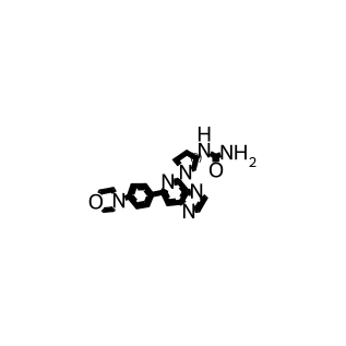 NC(=O)N[C@@H]1CCN(c2nc(-c3ccc(N4CCOCC4)cc3)cc3nccnc23)C1